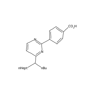 CCCCCCCC(CCCC)c1ccnc(-c2ccc(C(=O)O)cc2)n1